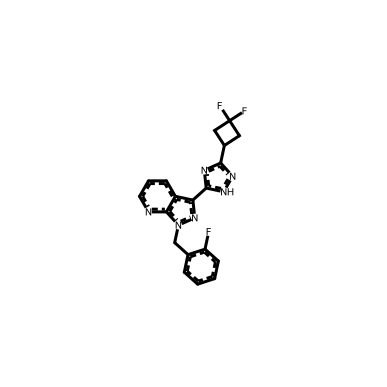 Fc1ccccc1Cn1nc(-c2nc(C3CC(F)(F)C3)n[nH]2)c2cccnc21